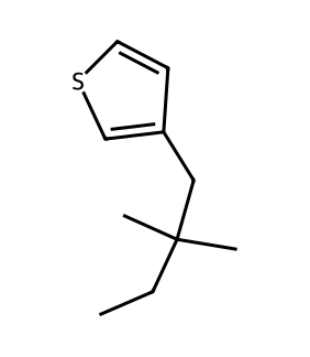 CCC(C)(C)Cc1ccsc1